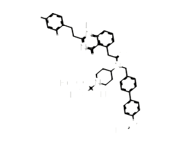 CCOC(=O)C(C)(C)N1CCC(N(Cc2ccc(-c3ccc(OC(F)(F)F)cc3)cc2)C(=O)Cc2cccc3[nH]c(CCc4ccc(F)cc4F)nc(=O)c23)CC1